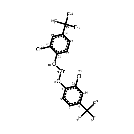 FC(F)(F)c1ccc([O][Zr][O]c2ccc(C(F)(F)F)cc2Cl)c(Cl)c1